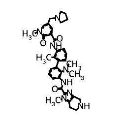 Cc1c(NC(=O)c2cc(CN3CCCC3)cn(C)c2=O)cccc1-c1cccc(NC(=O)c2nc3c(n2C)CCNC3)c1N(C)C